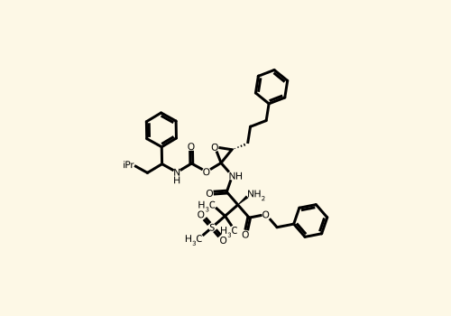 CC(C)CC(NC(=O)OC1(NC(=O)[C@](N)(C(=O)OCc2ccccc2)C(C)(C)S(C)(=O)=O)O[C@@H]1CCCc1ccccc1)c1ccccc1